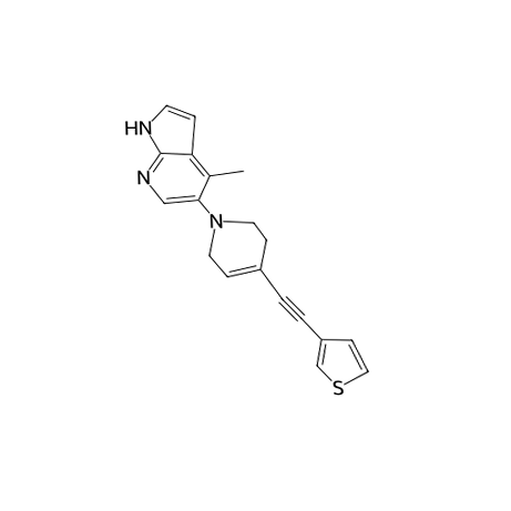 Cc1c(N2CC=C(C#Cc3ccsc3)CC2)cnc2[nH]ccc12